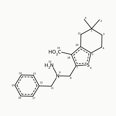 CC1(C)CCc2sc(CN(N)Cc3ccccc3)c(C(=O)O)c2C1